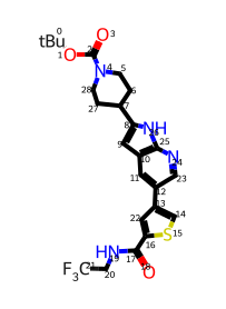 CC(C)(C)OC(=O)N1CCC(c2cc3cc(-c4csc(C(=O)NCC(F)(F)F)c4)cnc3[nH]2)CC1